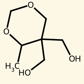 CC1OCOCC1(CO)CO